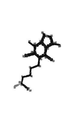 C[C@@H](F)CCCCn1c(=O)c2c(ncn2C)n(C)c1=O